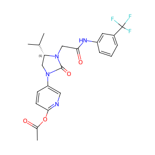 CC(=O)Oc1ccc(N2C[C@H](C(C)C)N(CC(=O)Nc3cccc(C(F)(F)F)c3)C2=O)cn1